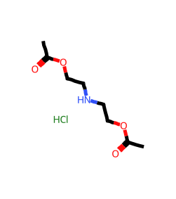 CC(=O)OCCNCCOC(C)=O.Cl